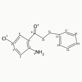 Nc1ccc(Cl)cc1C(=O)CCc1ccccc1